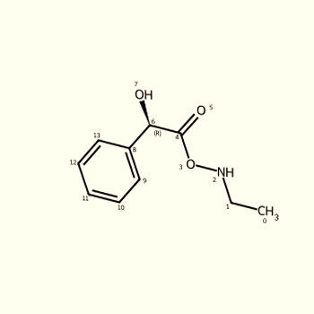 CCNOC(=O)[C@H](O)c1ccccc1